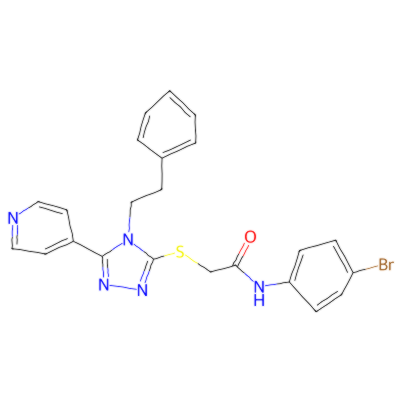 O=C(CSc1nnc(-c2ccncc2)n1CCc1ccccc1)Nc1ccc(Br)cc1